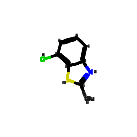 CC(C)(C)c1nc2cccc(Cl)c2s1